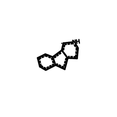 [c]1[nH]ccc2cc3ccccc3c1-2